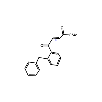 COC(=O)/C=C/C(=O)c1ccccc1Cc1ccccc1